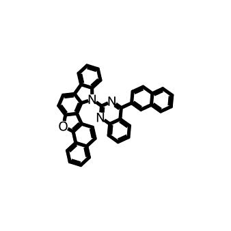 c1ccc2cc(-c3nc(-n4c5ccccc5c5ccc6oc7c8ccccc8ccc7c6c54)nc4ccccc34)ccc2c1